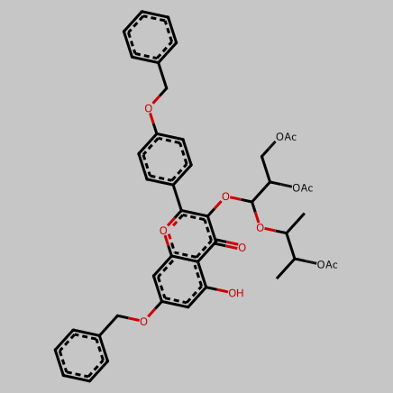 CC(=O)OCC(OC(C)=O)C(Oc1c(-c2ccc(OCc3ccccc3)cc2)oc2cc(OCc3ccccc3)cc(O)c2c1=O)OC(C)C(C)OC(C)=O